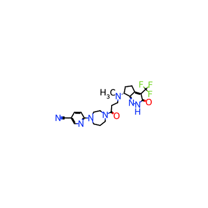 CN(CCC(=O)N1CCCN(c2ccc(C#N)cn2)CC1)[C@@H]1CCc2c1n[nH]c(=O)c2C(F)(F)F